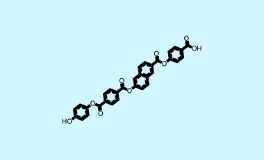 O=C(O)c1ccc(OC(=O)c2ccc3cc(OC(=O)c4ccc(C(=O)Oc5ccc(O)cc5)cc4)ccc3c2)cc1